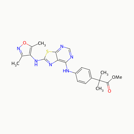 COC(=O)C(C)(C)c1ccc(Nc2ncnc3sc(Nc4c(C)noc4C)nc23)cc1